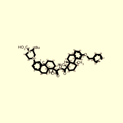 CC(C)(C)C1CN(c2ccc3c(c2)[C@@]2(C)CCC[C@](C)(C(=O)NC(=O)[C@@]4(C)CCC[C@]5(C)c6cc(OCc7ccccc7)ccc6CC[C@@H]45)[C@@H]2CC3)CCN1C(=O)O